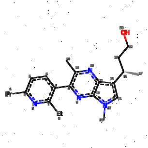 CCc1nc(C(C)C)ccc1-c1nc2c(nc1C)c([C@@H](C)CCO)cn2C